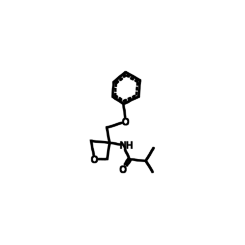 CC(C)C(=O)NC1(COc2ccccc2)COC1